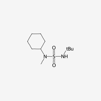 CN(C1CCCCC1)S(=O)(=O)NC(C)(C)C